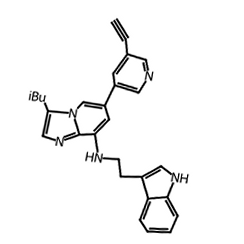 C#Cc1cncc(-c2cc(NCCc3c[nH]c4ccccc34)c3ncc(C(C)CC)n3c2)c1